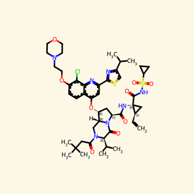 C=C[C@@H]1C[C@]1(NC(=O)[C@@H]1C[C@@H](Oc2cc(-c3nc(C(C)C)cs3)nc3c(Cl)c(OCCN4CCOCC4)ccc23)[C@H]2CN(C(=O)CC(C)(C)C)[C@H](C(C)C)C(=O)N21)C(=O)NS(=O)(=O)C1CC1